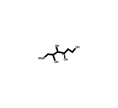 CNCC(O)C(O)[C@H](O)CCO